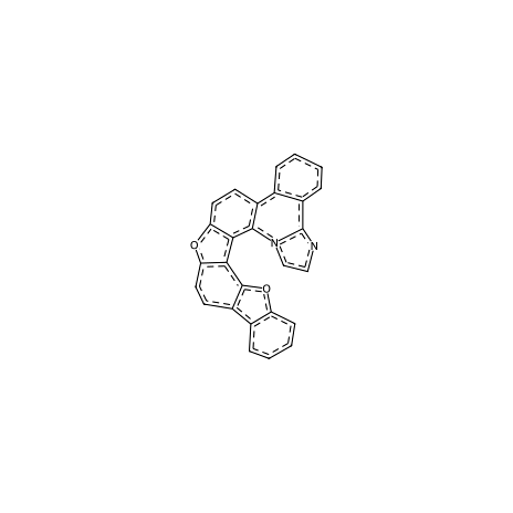 c1ccc2c(c1)oc1c2ccc2oc3ccc4c5ccccc5c5nccn5c4c3c21